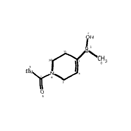 CB(O)C1=CCN(C(=O)C(C)(C)C)CC1